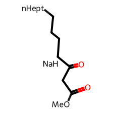 CCCCCCCCCCCC(=O)CC(=O)OC.[NaH]